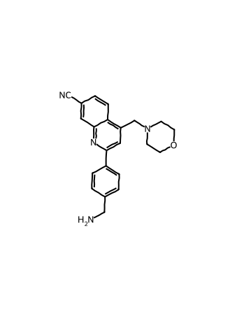 N#Cc1ccc2c(CN3CCOCC3)cc(-c3ccc(CN)cc3)nc2c1